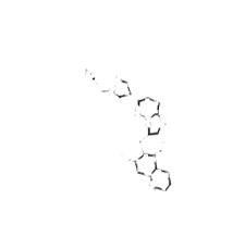 N#CCn1cc(-c2ccc3ncc(Cc4c(F)cc5ncccc5c4F)n3n2)cn1